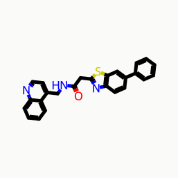 O=C(Cc1nc2ccc(-c3ccccc3)cc2s1)NCc1ccnc2ccccc12